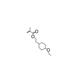 C=C(C)C(=O)OCCC1CCC(OCC)CC1